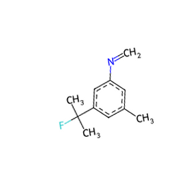 C=Nc1cc(C)cc(C(C)(C)F)c1